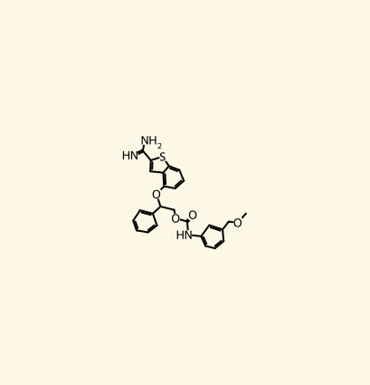 COCc1cccc(NC(=O)OCC(Oc2cccc3sc(C(=N)N)cc23)c2ccccc2)c1